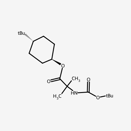 CC(C)(C)OC(=O)NC(C)(C)C(=O)O[C@H]1CC[C@H](C(C)(C)C)CC1